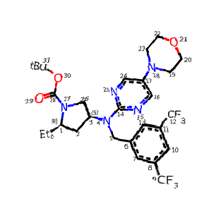 CC[C@@H]1C[C@H](N(Cc2cc(C(F)(F)F)cc(C(F)(F)F)c2)c2ncc(N3CCOCC3)cn2)CN1C(=O)OC(C)(C)C